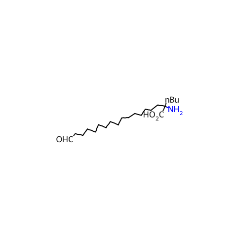 CCCCC(N)(CCCCCCCCCCCCCCCC=O)C(=O)O